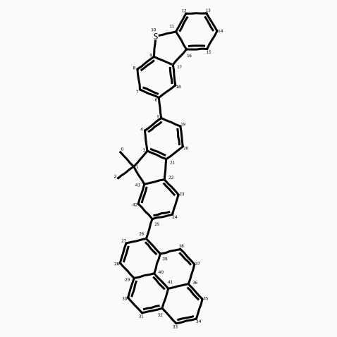 CC1(C)c2cc(-c3ccc4sc5ccccc5c4c3)ccc2-c2ccc(-c3ccc4ccc5cccc6ccc3c4c56)cc21